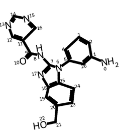 Nc1cccc(-n2c(NC(=O)c3cncnc3)nc3cc(CO)ccc32)c1